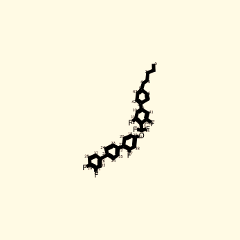 CCCCCc1ccc(-c2cc(F)c(C(F)(F)Oc3ccc(-c4ccc(-c5ccc(F)c(F)c5)cc4)c(F)c3)c(F)c2)cc1